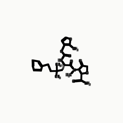 Cc1occc1OC(=O)N[C@@H](CC(C)(C)CCc1ccccc1)C(=O)N(C)C1C(=O)COC1C(N)=O